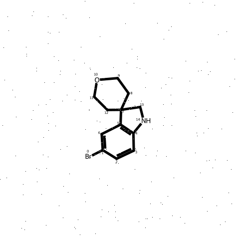 Brc1ccc2c(c1)C1(CCOCC1)CN2